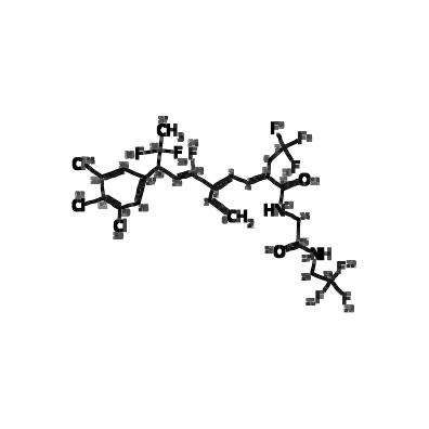 C=CC(=C\C=C(/CC(F)(F)F)C(=O)NCC(=O)NCC(F)(F)F)/C(F)=C/C(c1cc(Cl)c(Cl)c(Cl)c1)C(C)(F)F